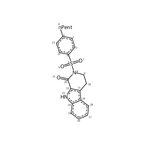 CCCCCc1ccc(S(=O)(=O)N2CCc3c([nH]c4ccccc34)C2=O)cc1